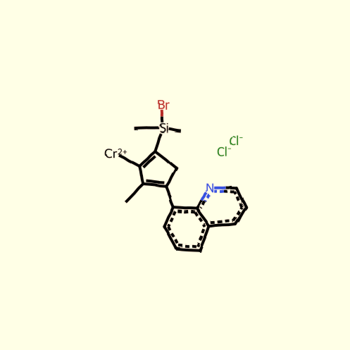 CC1=C(c2cccc3cccnc23)CC([Si](C)(C)Br)=[C]1[Cr+2].[Cl-].[Cl-]